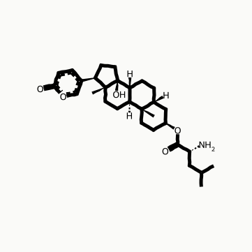 CC(C)C[C@@H](N)C(=O)O[C@H]1CC[C@@]2(C)[C@H](CC[C@@H]3[C@@H]2CC[C@]2(C)[C@@H](c4ccc(=O)oc4)CC[C@]32O)C1